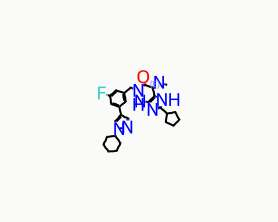 C=Nc1nc(C2CCCC2)[nH]c1/C(=N\C)C(=O)NCc1cc(F)cc(-c2cnn(C3CCCCC3)c2)c1